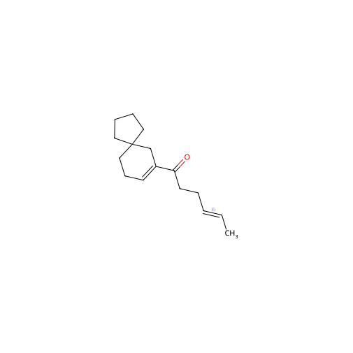 C/C=C/CCC(=O)C1=CCCC2(CCCC2)C1